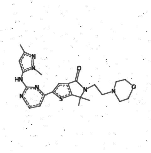 Cc1cc(Nc2nccc(-c3cc4c(s3)C(C)(C)N(CCN3CCOCC3)C4=O)n2)n(C)n1